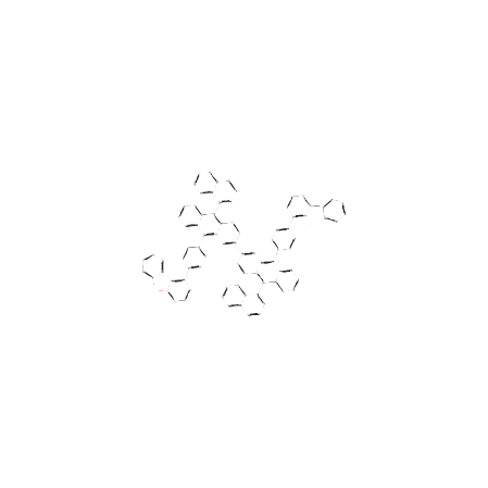 c1ccc2c(-c3c4ccccc4c(-c4ccc(-c5cccc6c5oc5ccccc56)cc4)c4cc(-c5ccc6c(-c7cccc8ccccc78)c7ccccc7c(-c7ccc(-c8cccc9oc%10ccccc%10c89)cc7)c6c5)ccc34)cccc2c1